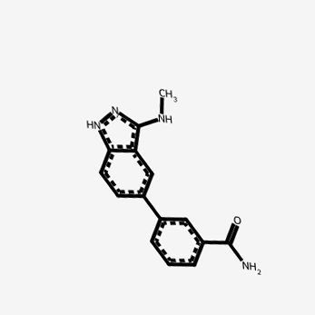 CNc1n[nH]c2ccc(-c3cccc(C(N)=O)c3)cc12